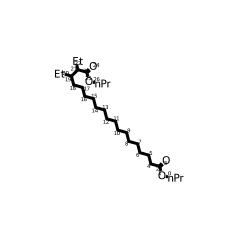 CCCOC(=O)CCCCCCCCCCCCCCCC(CC)C(CC)C(=O)OCCC